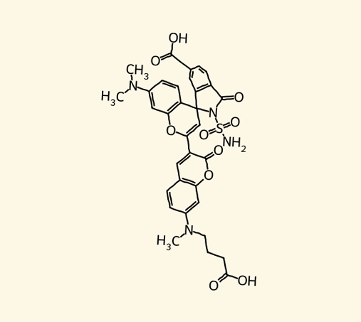 CN(C)c1ccc2c(c1)OC(c1cc3ccc(N(C)CCCC(=O)O)cc3oc1=O)=CC21c2cc(C(=O)O)ccc2C(=O)N1S(N)(=O)=O